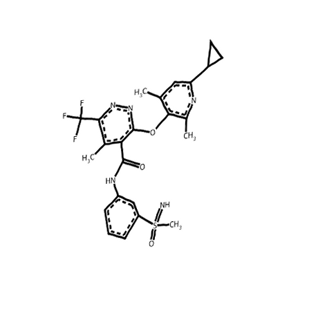 Cc1cc(C2CC2)nc(C)c1Oc1nnc(C(F)(F)F)c(C)c1C(=O)Nc1cccc(S(C)(=N)=O)c1